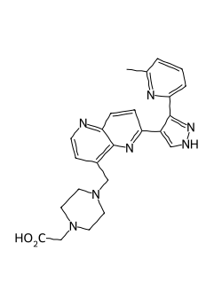 Cc1cccc(-c2n[nH]cc2-c2ccc3nccc(CN4CCN(CC(=O)O)CC4)c3n2)n1